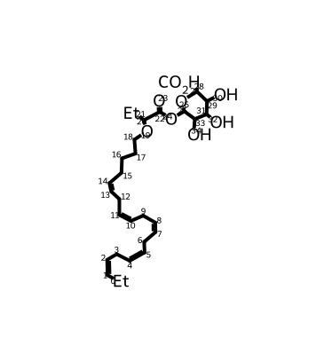 CC/C=C\C/C=C\C/C=C\C/C=C\C/C=C\CCCCOC(CC)C(=O)OC1OC(C(=O)O)C(O)C(O)C1O